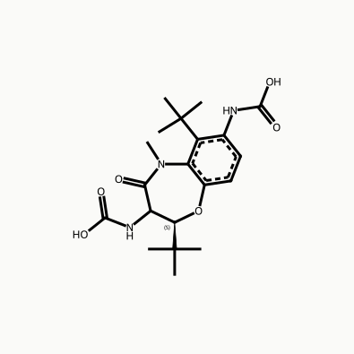 CN1C(=O)C(NC(=O)O)[C@H](C(C)(C)C)Oc2ccc(NC(=O)O)c(C(C)(C)C)c21